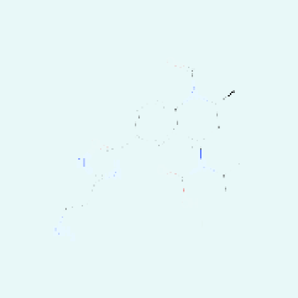 CC(=O)N1c2ccc(-c3nc(CCN)no3)cc2[C@H](N(C(=O)O)C(C)C)C[C@@H]1C.Cl